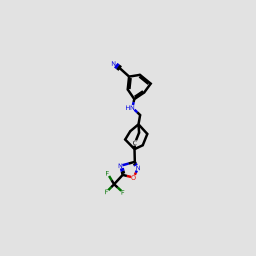 N#Cc1cccc(NCC23CCC(c4noc(C(F)(F)F)n4)(CC2)CC3)c1